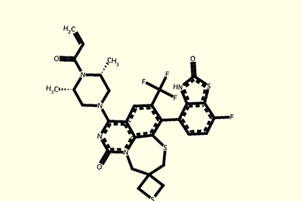 C=CC(=O)N1[C@H](C)CN(c2nc(=O)n3c4c(c(-c5ccc(F)c6sc(=O)[nH]c56)c(C(F)(F)F)cc24)SCC2(CSC2)C3)C[C@@H]1C